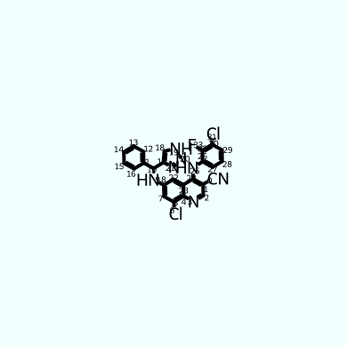 N#Cc1cnc2c(Cl)cc(N[C@@H](c3ccccc3)c3c[nH]nn3)cc2c1Nc1cccc(Cl)c1F